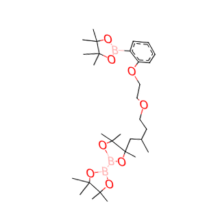 CC(CCOCCOc1ccccc1B1OC(C)(C)C(C)(C)O1)CC1(C)OB(B2OC(C)(C)C(C)(C)O2)OC1(C)C